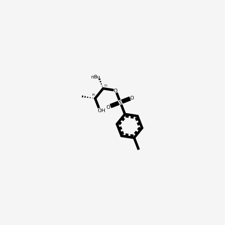 CCCC[C@H](OS(=O)(=O)c1ccc(C)cc1)[C@@H](C)O